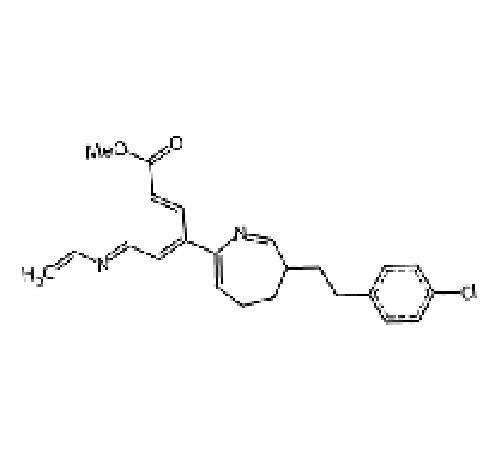 C=C/N=C/C=C(\C=C\C(=O)OC)C1=CCCC(CCc2ccc(Cl)cc2)C=N1